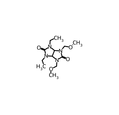 CCN1C(=O)N(CC)C2C1N(COC)C(=O)N2COC